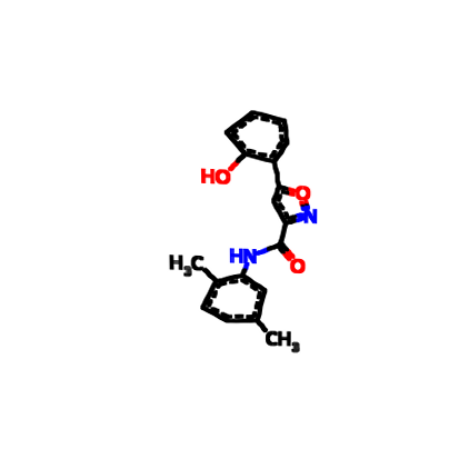 Cc1ccc(C)c(NC(=O)c2cc(-c3ccccc3O)on2)c1